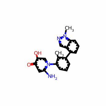 Cc1c(-c2cccc3c2cnn3C)cccc1-n1cc(O)c(=O)cc1N